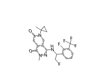 Cn1nc(NC(CF)c2cccc(C(F)(F)F)c2F)c2cn(C3(C)CC3)c(=O)cc2c1=O